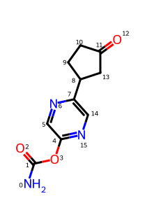 NC(=O)Oc1cnc(C2CCC(=O)C2)cn1